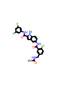 CCn1c(C(=O)Nc2cc(F)cc(F)c2)cc2cc(NC(=O)c3cc(CNC(=O)C(C)C)ccc3Cl)ccc21